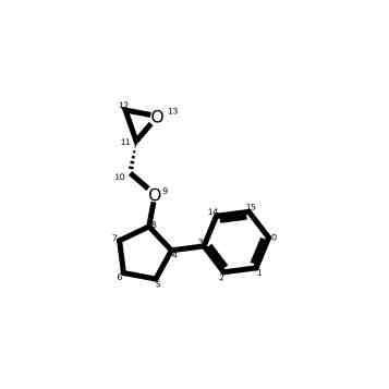 c1ccc(C2CCCC2OC[C@@H]2CO2)cc1